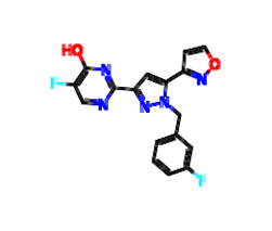 Oc1nc(-c2cc(-c3ccon3)n(Cc3cccc(F)c3)n2)ncc1F